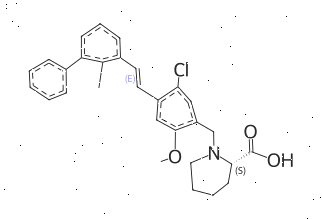 COc1cc(/C=C/c2cccc(-c3ccccc3)c2C)c(Cl)cc1CN1CCCC[C@H]1C(=O)O